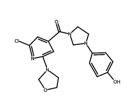 O=C(c1cc(Cl)nc(N2CCOC2)c1)N1CCN(c2ccc(O)cc2)C1